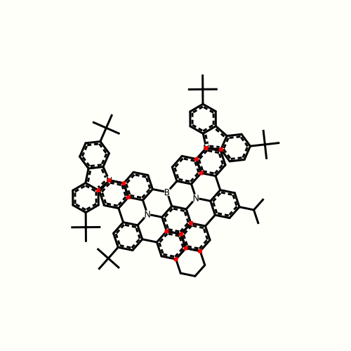 CC(C)c1cc(-c2ccccc2)c(N2c3cc(-n4c5ccc(C(C)(C)C)cc5c5cc(C(C)(C)C)ccc54)ccc3B3c4ccc(-n5c6cc(C(C)(C)C)ccc6c6ccc(C(C)(C)C)cc65)cc4N(c4c(-c5ccccc5)cc(C(C)(C)C)cc4-c4ccccc4)c4cc(C5CCCCC5)cc2c43)c(-c2ccccc2)c1